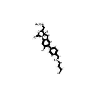 CC(=O)NCC1OC(=O)N2c3cc(F)c(-c4ccc(CNCCCF)cc4)cc3C[C@@H]12